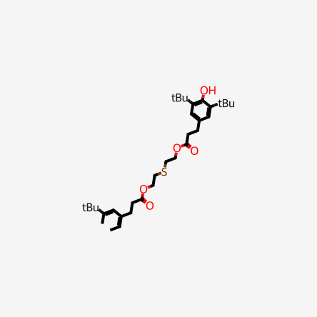 C/C=C(\C=C(/C)C(C)(C)C)CCC(=O)OCCSCCOC(=O)CCc1cc(C(C)(C)C)c(O)c(C(C)(C)C)c1